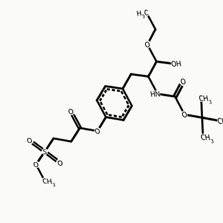 CCOC(O)C(Cc1ccc(OC(=O)CCS(=O)(=O)OC)cc1)NC(=O)OC(C)(C)C